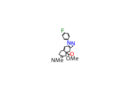 CN[C@H]1CCC2=Cc3c(cnn3-c3ccc(F)cc3)C[C@]2(C(=O)OC)C1